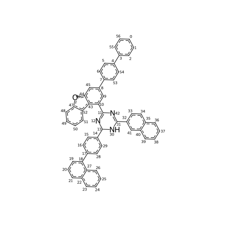 c1ccc(-c2ccc(-c3cc(C4=NC(c5ccc(-c6cccc7ccccc67)cc5)NC(c5ccc6ccccc6c5)=N4)c4c(c3)oc3ccccc34)cc2)cc1